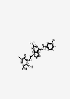 CNC(=O)[C@@H](OCn1cnc2c(NCc3cccc(I)c3)nc(Cl)nc21)C(O)CO